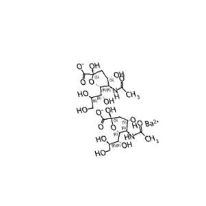 CC(=O)N[C@H]1[C@H]([C@H](O)[C@H](O)CO)O[C@](O)(C(=O)[O-])C[C@@H]1O.CC(=O)N[C@H]1[C@H]([C@H](O)[C@H](O)CO)O[C@](O)(C(=O)[O-])C[C@@H]1O.[Ba+2]